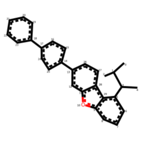 CC(C)C(C)c1cccc2oc3cc(-c4ccc(-c5ccccc5)cc4)ccc3c12